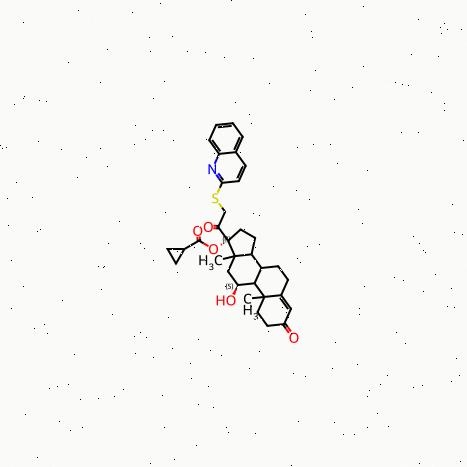 CC12CCC(=O)C=C1CCC1C2[C@@H](O)CC2(C)C1CC[C@]2(OC(=O)C1CC1)C(=O)CSc1ccc2ccccc2n1